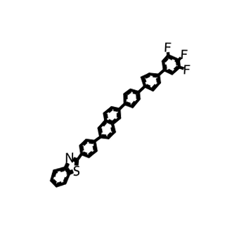 Fc1cc(-c2ccc(-c3ccc(-c4ccc5cc(-c6ccc(-c7nc8ccccc8s7)cc6)ccc5c4)cc3)cc2)cc(F)c1F